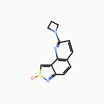 [O-][s+]1cc2c(ccc3ccc(N4CCC4)nc32)n1